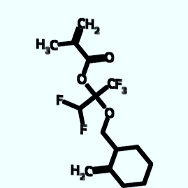 C=C(C)C(=O)OC(OCC1CCCCC1=C)(C(F)F)C(F)(F)F